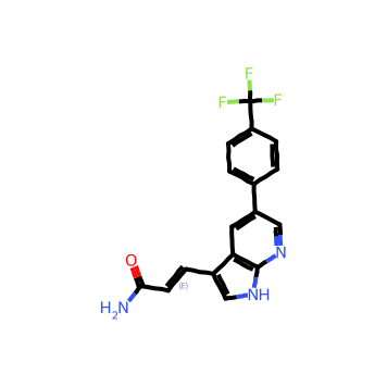 NC(=O)/C=C/c1c[nH]c2ncc(-c3ccc(C(F)(F)F)cc3)cc12